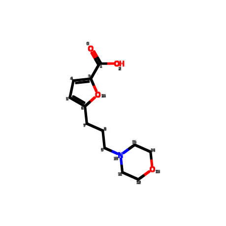 O=C(O)c1ccc(CCCN2CCOCC2)o1